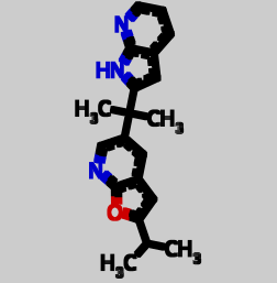 CC(C)c1cc2cc(C(C)(C)c3cc4cccnc4[nH]3)cnc2o1